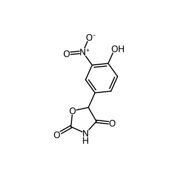 O=C1NC(=O)C(c2ccc(O)c([N+](=O)[O-])c2)O1